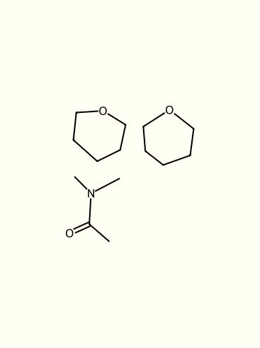 C1CCOCC1.C1CCOCC1.CC(=O)N(C)C